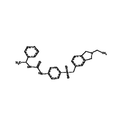 CCN1Cc2ccc(CS(=O)(=O)c3ccc(NC(=O)NC(C)c4ccccc4)cc3)cc2C1